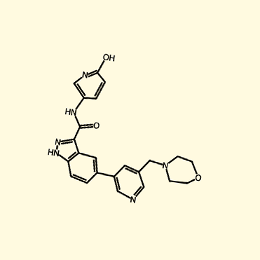 O=C(Nc1ccc(O)nc1)c1n[nH]c2ccc(-c3cncc(CN4CCOCC4)c3)cc12